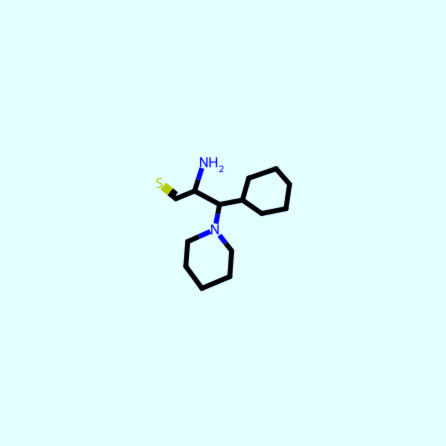 NC(C=S)C(C1CCCCC1)N1CCCCC1